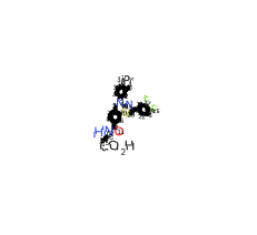 Cc1cc(N(Cc2ccc(C(=O)NCCC(=O)O)cc2)c2nc(-c3ccc(F)c(F)c3)cs2)ccc1C(C)C